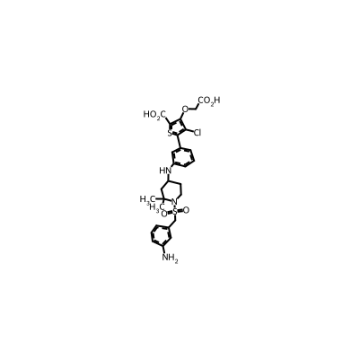 CC1(C)CC(Nc2cccc(-c3sc(C(=O)O)c(OCC(=O)O)c3Cl)c2)CCN1S(=O)(=O)Cc1cccc(N)c1